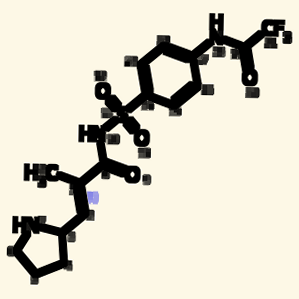 C/C(=C\C1CCCN1)C(=O)NS(=O)(=O)c1ccc(NC(=O)C(F)(F)F)cc1